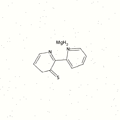 S=C1CC=CN=C1c1ccccn1.[MgH2]